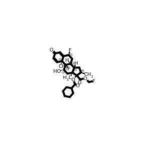 C[C@@H]1C[C@H]2[C@@H]3C[C@H](F)C4=CC(=O)C=C[C@]4(C)[C@@]3(F)[C@@H](O)C[C@]2(C)[C@@]1(OC(=O)C1CCCCC1)C(=O)OCF